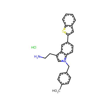 Cl.NCCc1cn(Cc2ccc(C(=O)O)cc2)c2ccc(-c3cc4ccccc4s3)cc12